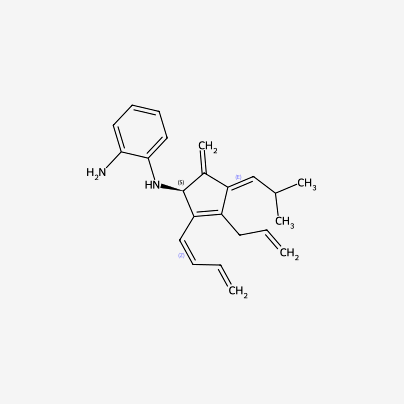 C=C/C=C\C1=C(CC=C)C(=C\C(C)C)/C(=C)[C@@H]1Nc1ccccc1N